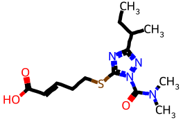 CCC(C)c1nc(SCCC=CC(=O)O)n(C(=O)N(C)C)n1